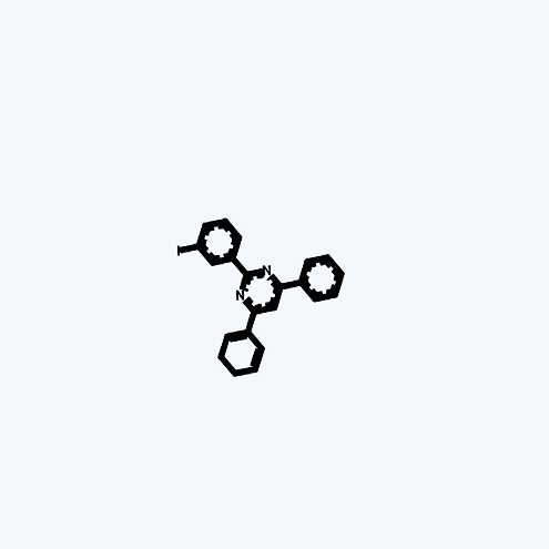 Ic1cccc(-c2nc(C3=CCCC=C3)cc(-c3ccccc3)n2)c1